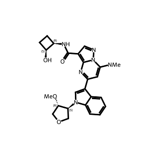 CNc1cc(-c2cn([C@H]3COC[C@@H]3OC)c3ccccc23)nc2c(C(=O)N[C@@H]3CC[C@@H]3O)cnn12